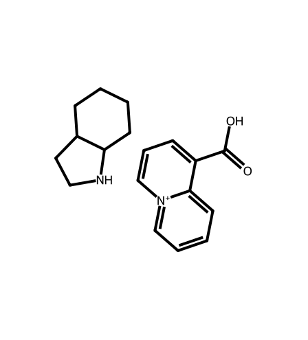 C1CCC2NCCC2C1.O=C(O)c1ccc[n+]2ccccc12